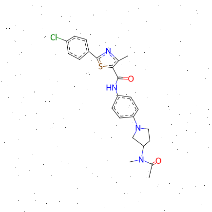 CC(=O)N(C)C1CCN(c2ccc(NC(=O)c3sc(-c4ccc(Cl)cc4)nc3C)cc2)C1